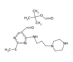 CC(C)(C)OC=O.CSc1ncc(C=O)c(NCCCN2CCNCC2)n1